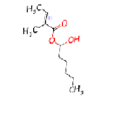 C/C=C(\C)C(=O)OC(O)CCCCC